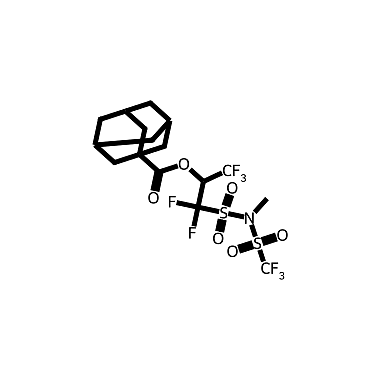 CN(S(=O)(=O)C(F)(F)F)S(=O)(=O)C(F)(F)C(OC(=O)C12CC3CC(CC(C3)C1)C2)C(F)(F)F